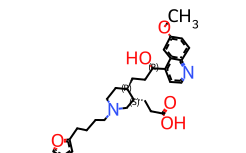 COc1ccc2nccc([C@H](O)CC[C@@H]3CCN(CCCCc4ccco4)C[C@H]3CCC(=O)O)c2c1